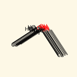 O=C(O)O.O=C(O)O.O=C(O)O.O=C(O)O.O=C(O)O.[Ca+2].[Ca+2].[Ca+2].[Ca+2].[Ca+2].[Ca+2].[Ca+2].[Ca+2].[Ca+2].[Ca+2].[Ca+2].[Ca+2].[Ca+2].[Ca+2].[Ca+2].[Ca+2].[Ca+2].[Ca+2].[Ca+2].[Ca+2].[Ca+2].[Ca+2].[Ca+2].[Ca+2].[Ca+2].[Ca+2].[Ca+2].[Ca+2].[Ca+2].[Ca+2].[Ca+2].[Ca+2].[Ca+2].[Ca+2].[Ca+2].[Ca+2].[Ca+2].[Ca+2].[Ca+2].[Ca+2].[Ca+2].[Ca+2].[Ca+2].[Ca+2].[Ca+2]